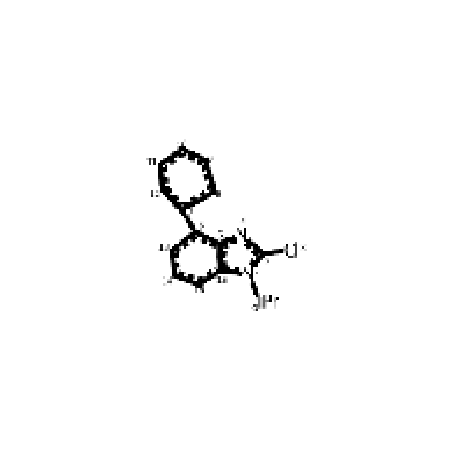 CC(C)n1c(Cl)nc2c(-c3ccccc3)cccc21